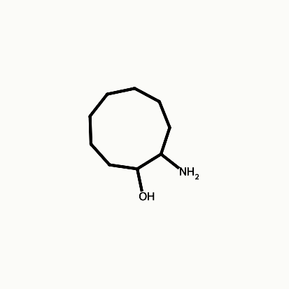 NC1CCCCCCCC1O